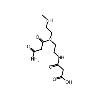 CNCCN(CCNC(=O)CC(=O)O)C(=O)CC(N)=O